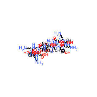 CC(C)[C@H](NC(=O)CNC(=O)[C@H](CCC(N)=O)NC(=O)[C@H](CCCCN)NC(=O)[C@@H](NC(=O)[C@H](CCCCN)NC(=O)[C@@H](N)Cc1ccc(O)cc1)[C@@H](C)O)C(=O)N[C@@H](C)C(=O)N[C@@H](CCC(=O)O)C(=O)N[C@@H](C)C(=O)N[C@@H](C)C(=O)NCC(=O)N[C@@H](CCCCN)C(=O)N[C@H](C(=O)N[C@@H](CCCCN)C(=O)N[C@@H](CCC(=O)O)C(=O)O)[C@@H](C)O